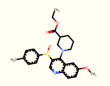 CCOC(=O)C1CCCN(c2c([S+]([O-])c3ccc(C)cc3)cnc3ccc(OC)cc23)C1